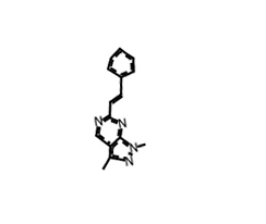 Cc1nn(C)c2nc(C=Cc3ccccc3)ncc12